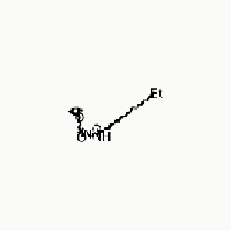 CCC=CCC=CCC=CCC=CCC=CCC=CCCC(=O)NC(C)(C)CNC(=O)C(C)(C)CCCOc1cc(C)ccc1C